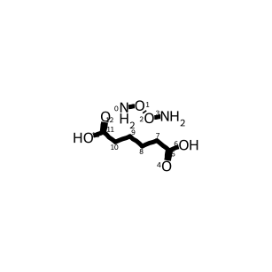 NOON.O=C(O)CCCCC(=O)O